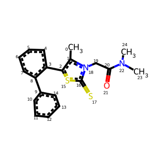 Cc1c(-c2ccccc2-c2ccccc2)sc(=S)n1CC(=O)N(C)C